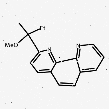 CCC(C)(OC)c1ccc2ccc3cccnc3c2n1